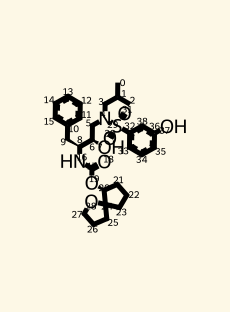 CC(C)CN(C[C@@H](O)[C@H](Cc1ccccc1)NC(=O)O[C@H]1CCCC12CCCO2)S(=O)(=O)c1cccc(O)c1